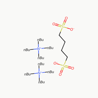 CCCC[N+](CCCC)(CCCC)CCCC.CCCC[N+](CCCC)(CCCC)CCCC.O=S(=O)([O-])CCCCS(=O)(=O)[O-]